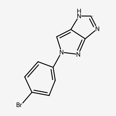 Brc1ccc(-n2cc3[nH][c]nc3n2)cc1